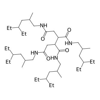 CCC(CC)CC(C)CNC(=O)CC(C(=O)NCC(C)CC(CC)CC)C(CC(=O)NCC(C)CC(CC)CC)C(=O)NCC(C)CC(CC)CC